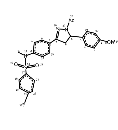 COc1ccc(C2CC(c3ccc(N(C)S(=O)(=O)c4ccc(F)cc4)cc3)=NN2C(C)=O)cc1